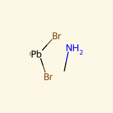 CN.[Br][Pb][Br]